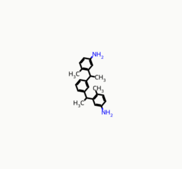 Cc1ccc(N)cc1C(C)c1cccc(C(C)c2cc(N)ccc2C)c1